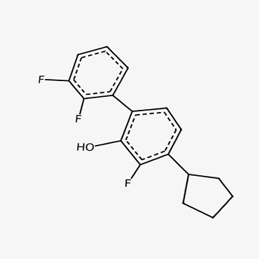 Oc1c(-c2cccc(F)c2F)ccc(C2CCCC2)c1F